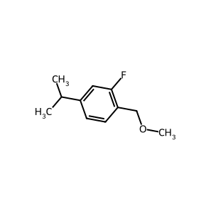 COCc1ccc(C(C)C)cc1F